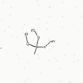 CCCS[Si](C)(OCC)OCC